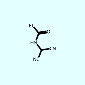 CCC(=O)NC(C#N)C#N